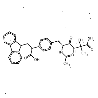 CC(=O)N[C@@H](Cc1ccc(N(CC2c3ccccc3-c3ccccc32)C(=O)O)cc1)C(=O)NC(C)(C)C(N)=O